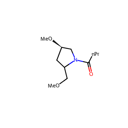 CCCC(=O)N1C[C@H](OC)CC1COC